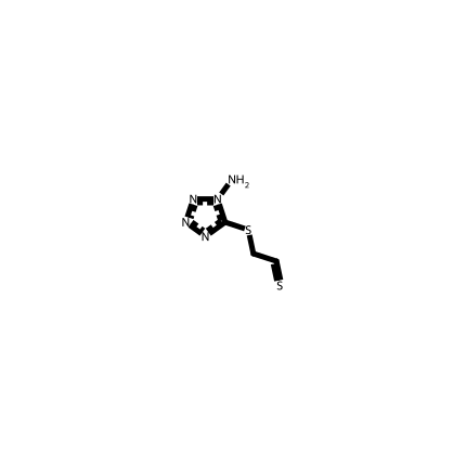 Nn1nnnc1SCC=S